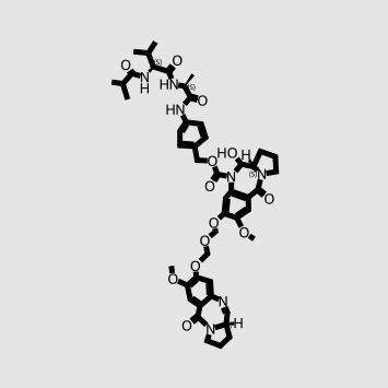 COc1cc2c(cc1OCOCOc1cc3c(cc1OC)C(=O)N1CCC[C@H]1C(O)N3C(=O)OCc1ccc(NC(=O)[C@H](C)NC(=O)[C@@H](NC(=O)C(C)C)C(C)C)cc1)N=C[C@@H]1CCCN1C2=O